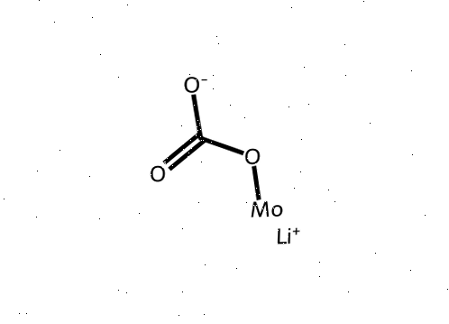 O=C([O-])[O][Mo].[Li+]